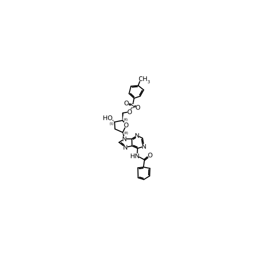 Cc1ccc(S(=O)(=O)OC[C@H]2O[C@@H](n3cnc4c(NC(=O)c5ccccc5)ncnc43)C[C@@H]2O)cc1